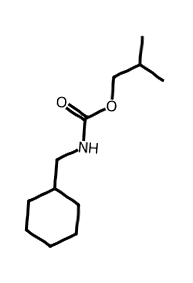 CC(C)COC(=O)NCC1CCCCC1